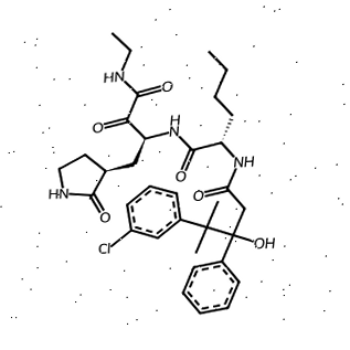 CCCC[C@H](NC(=O)CC(O)(c1ccccc1)C(C)(C)c1cccc(Cl)c1)C(=O)N[C@@H](C[C@@H]1CCNC1=O)C(=O)C(=O)NCC